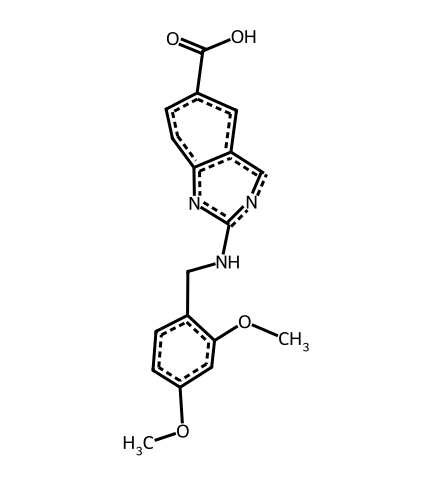 COc1ccc(CNc2ncc3cc(C(=O)O)ccc3n2)c(OC)c1